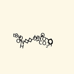 CC(C)(C)OC(=O)NC1CC2(C1)CC(OCC(NC(=O)OCc1ccccc1)C(=O)O)C2